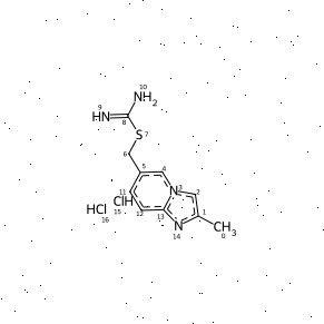 Cc1cn2cc(CSC(=N)N)ccc2n1.Cl.Cl